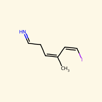 CC(/C=C\I)=C/CC=N